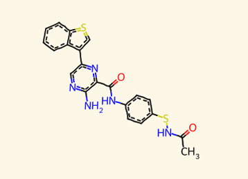 CC(=O)NSc1ccc(NC(=O)c2nc(-c3csc4ccccc34)cnc2N)cc1